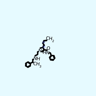 C=C/C=C\C=C1/CN(CCCNCC(C)c2ccccc2)C=C1C(=O)NCc1ccccc1